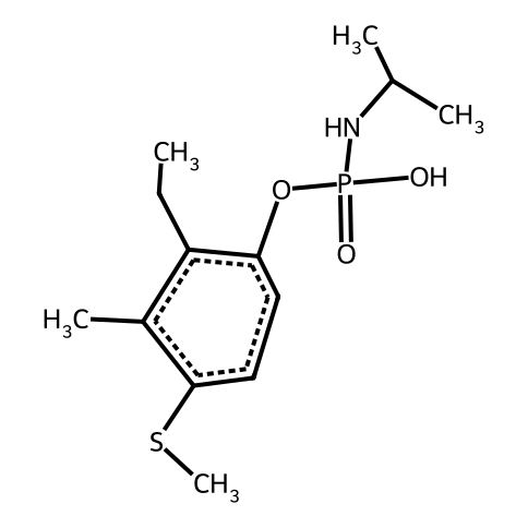 CCc1c(OP(=O)(O)NC(C)C)ccc(SC)c1C